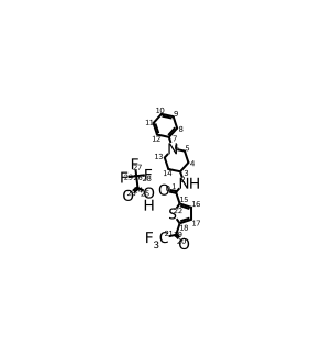 O=C(NC1CCN(c2ccccc2)CC1)c1ccc(C(=O)C(F)(F)F)s1.O=C(O)C(F)(F)F